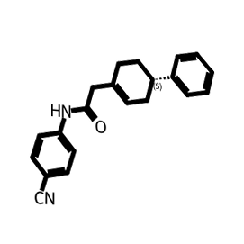 N#Cc1ccc(NC(=O)CC2=CC[C@@H](c3ccccc3)CC2)cc1